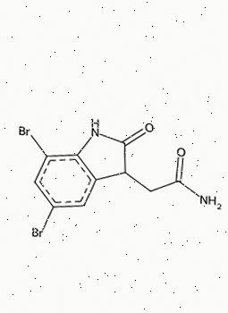 NC(=O)CC1C(=O)Nc2c(Br)cc(Br)cc21